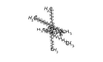 CCCCCCCCCCCCC(CCCCCCCCCC)CN1C(=O)C2=C(c3ccc(-c4sc(C)c(F)c4F)s3)N(CC(CCCCCCCCCC)CCCCCCCCCCCC)C(=O)C2=C1c1ccc(C)s1